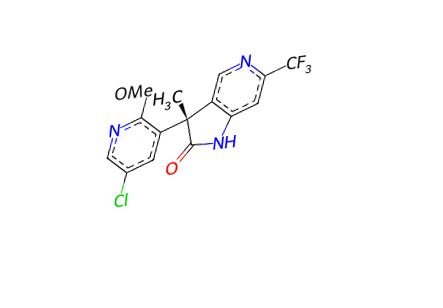 COc1ncc(Cl)cc1[C@@]1(C)C(=O)Nc2cc(C(F)(F)F)ncc21